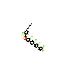 CCCCCc1ccc(C(F)(F)Oc2ccc(-c3ccc(-c4ccc(-c5ccc(F)c(F)c5)c(F)c4)c(F)c3)c(F)c2)c(F)c1